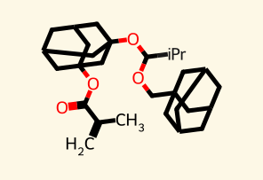 C=C(C)C(=O)OC12CC3CC(C1)CC(OC(OCC14CC5CC(CC(C5)C1)C4)C(C)C)(C3)C2